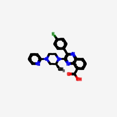 C[C@H]1CN(c2ccccn2)CCN1c1nc2c(C(=O)O)cccc2nc1-c1ccc(F)cc1